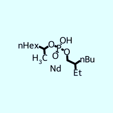 CCCCCCC(C)OP(=O)(O)OCC(CC)CCCC.[Nd]